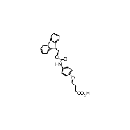 O=C(O)CCCOc1ccc(NC(=O)OCC2c3ccccc3-c3ccccc32)cc1